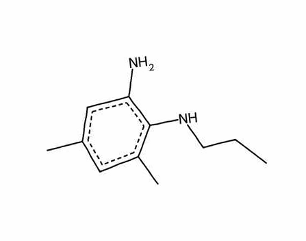 CCCNc1c(C)cc(C)cc1N